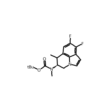 CC1c2cc(F)c(F)c3ccn(c23)C[C@H]1N(C)C(=O)OC(C)(C)C